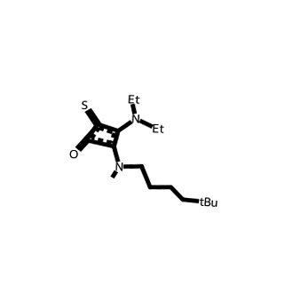 CCN(CC)c1c(N(C)CCCCC(C)(C)C)c(=O)c1=S